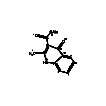 COC(=O)c1c(C)[nH]c2ccccc2c1=O